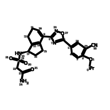 CC(C)Oc1ccc(-c2nc(C3=CCCC4=C3CC[C@H]4NS(=O)(=O)CC(N)=O)no2)cc1C#N